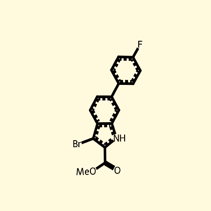 COC(=O)c1[nH]c2cc(-c3ccc(F)cc3)ccc2c1Br